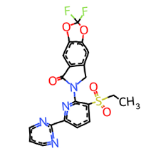 CCS(=O)(=O)c1ccc(-c2ncccn2)nc1N1Cc2cc3c(cc2C1=O)OC(F)(F)O3